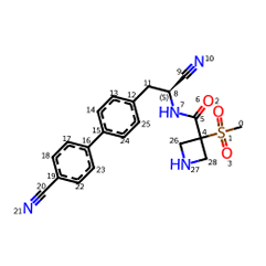 CS(=O)(=O)C1(C(=O)N[C@H](C#N)Cc2ccc(-c3ccc(C#N)cc3)cc2)CNC1